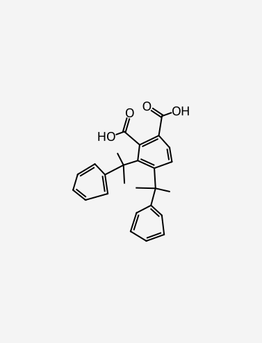 CC(C)(c1ccccc1)c1ccc(C(=O)O)c(C(=O)O)c1C(C)(C)c1ccccc1